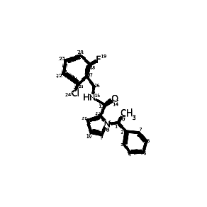 CC(c1ccccc1)n1cccc1C(=O)NCc1c(F)cccc1Cl